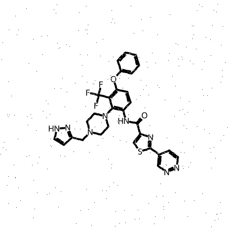 O=C(Nc1ccc(Oc2ccccc2)c(C(F)(F)F)c1N1CCN(Cc2cc[nH]n2)CC1)c1csc(-c2ccnnc2)n1